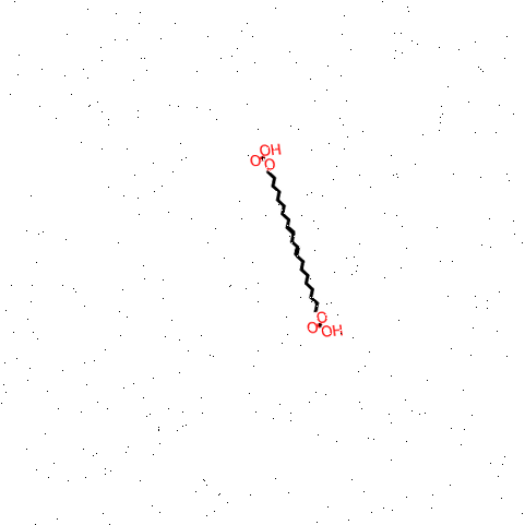 O=C(O)OCCCCCCCCC=CCC=CCCCCCCCCOC(=O)O